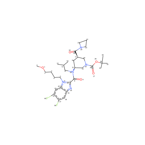 COCCCCn1c(C(=O)N(CC(C)C)[C@H]2C[C@@H](C(=O)N3CCC3)CN(C(=O)OC(C)(C)C)C2)nc2cc(F)c(F)cc21